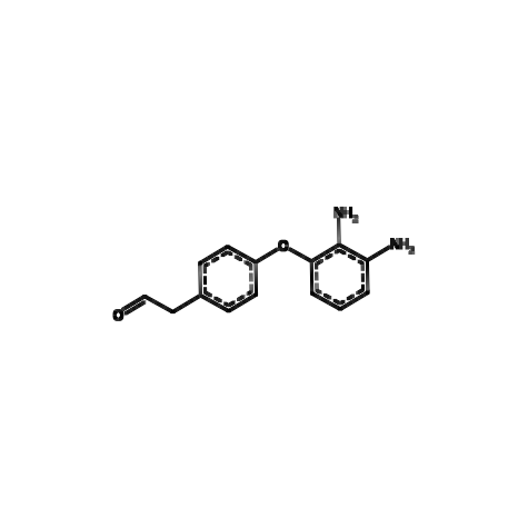 Nc1cccc(Oc2ccc(CC=O)cc2)c1N